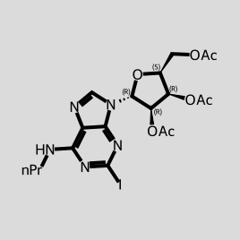 CCCNc1nc(I)nc2c1ncn2[C@@H]1O[C@@H](COC(C)=O)[C@@H](OC(C)=O)[C@H]1OC(C)=O